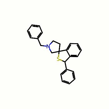 c1ccc(CN2CCC3(C2)SC(c2ccccc2)c2ccccc23)cc1